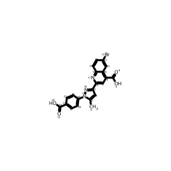 Cc1cc(-c2cc(C(=O)O)c3cc(Br)ccc3n2)nn1-c1ccc(C(=O)O)cc1